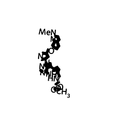 CNc1ccc2ccc(OCc3cncc(-n4cc(-c5ccc(CNCCS(C)(=O)=O)o5)c5c(N)ncnc54)c3)cc2n1